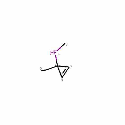 CPC1(C)C=C1